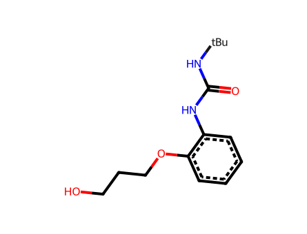 CC(C)(C)NC(=O)Nc1ccccc1OCCCO